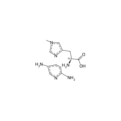 Cn1cnc(C[C@H](N)C(=O)O)c1.Nc1ccc(N)nc1